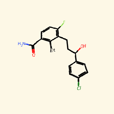 CCc1c(C(N)=O)ccc(F)c1CCC(O)c1ccc(Cl)cc1